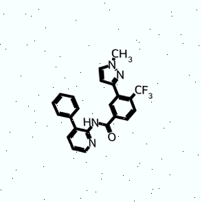 Cn1ccc(-c2cc(C(=O)Nc3ncccc3-c3ccccc3)ccc2C(F)(F)F)n1